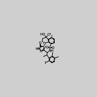 Cc1ccc(F)c(C(C)C(NS(=O)(=O)c2cccc3c2OCCC3(O)C(F)(F)F)c2n[nH]c(=O)o2)c1C